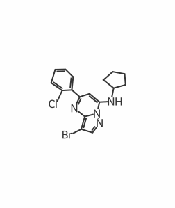 Clc1ccccc1-c1cc(NC2CCCC2)n2ncc(Br)c2n1